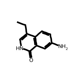 CCc1c[nH]c(=O)c2cc(N)ccc12